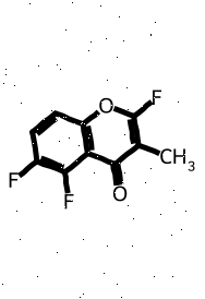 Cc1c(F)oc2ccc(F)c(F)c2c1=O